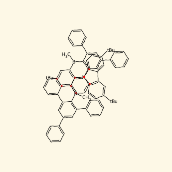 CB(c1cc(C(C)(C)C)cc(B(C)c2c(-c3ccccc3)cc(-c3ccccc3)cc2-c2ccccc2)c1-n1c2ccc(C(C)(C)C)cc2c2cc(C(C)(C)C)ccc21)c1c(-c2ccccc2)cc(-c2ccccc2)cc1-c1ccccc1